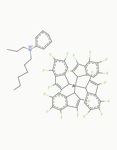 CCCCCC[NH+](CCC)c1ccccc1.FC1=C(F)[CH]([Al-]([CH]2C(F)=C(F)c3c2cc(F)c(F)c3F)([CH]2C(F)=C(F)c3c2cc(F)c(F)c3F)[CH]2C(F)=C(F)c3c2cc(F)c(F)c3F)c2cc(F)c(F)c(F)c21